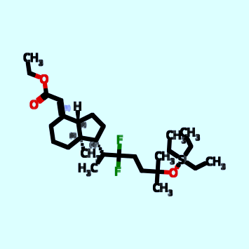 CCOC(=O)/C=C1\CCC[C@]2(C)[C@@H](C(C)C(F)(F)CCC(C)(C)O[Si](CC)(CC)CC)CC[C@@H]12